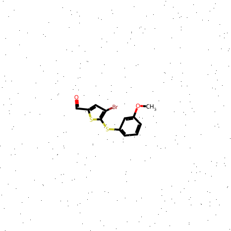 COc1cccc(Sc2sc(C=O)cc2Br)c1